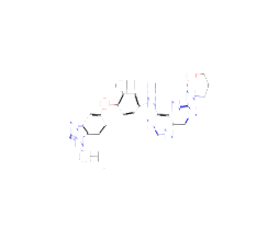 Cc1cc(Nc2ncnc3cnc(N4CCCOC4)nc23)ccc1Oc1ccc2c(c1)ncn2C